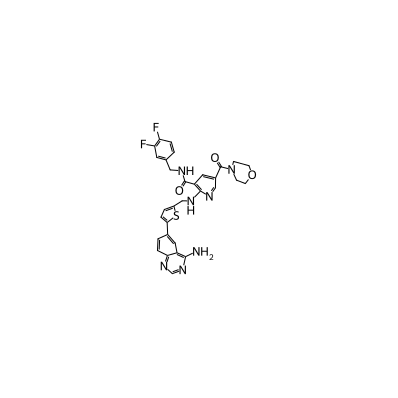 Nc1ncnc2ccc(-c3ccc(CNc4ncc(C(=O)N5CCOCC5)cc4C(=O)NCc4ccc(F)c(F)c4)s3)cc12